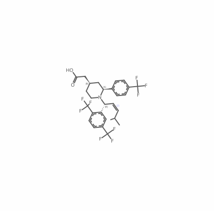 CC(C)/C=C\[C@H](c1cc(C(F)(F)F)ccc1C(F)(F)F)N1CC[C@@H](CC(=O)O)C[C@H]1c1ccc(C(F)(F)F)cc1